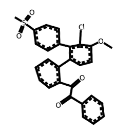 COc1ccc(-c2ccccc2C(=O)C(=O)c2ccccc2)c(-c2ccc(S(C)(=O)=O)cc2)c1Cl